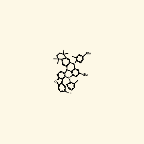 Cc1cc(C(C)(C)C)ccc1N1c2cc3c(cc2B2c4ccc5oc6ccc(C(C)(C)C)cc6c5c4N(c4ccccc4C)c4cc(C(C)(C)C)cc1c42)C(C)(C)CCC3(C)C